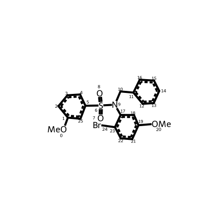 COc1cccc(S(=O)(=O)N(Cc2ccccc2)c2cc(OC)ccc2Br)c1